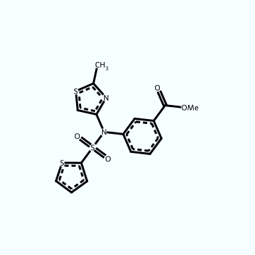 COC(=O)c1cccc(N(c2csc(C)n2)S(=O)(=O)c2cccs2)c1